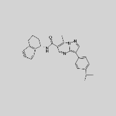 Cc1c(C(=O)N[C@H]2CCCc3c#cccc32)cnc2c(-c3ccc(C(C)C)cc3)cnn12